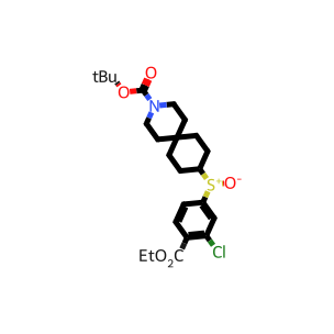 CCOC(=O)c1ccc([S+]([O-])C2CCC3(CC2)CCN(C(=O)OC(C)(C)C)CC3)cc1Cl